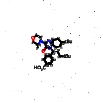 C[C@H]1COCCN1C1=NC2(CCC(C(C)(C)C)CC2)N([C@H](CCC(C)(C)C)c2ccc(C(=O)O)cc2)C1=O